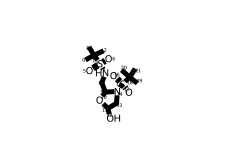 CC(C)(C)S(=O)(=O)NCC1OC(O)CN1S(=O)(=O)C(C)(C)C